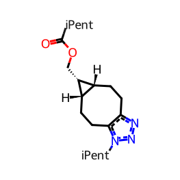 CCCC(C)C(=O)OC[C@@H]1[C@@H]2CCc3nnn(C(C)CCC)c3CC[C@@H]21